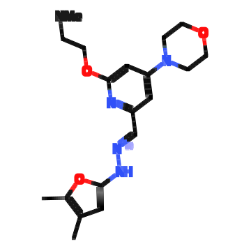 CNCCOc1cc(N2CCOCC2)cc(/C=N/Nc2cc(C)c(C)o2)n1